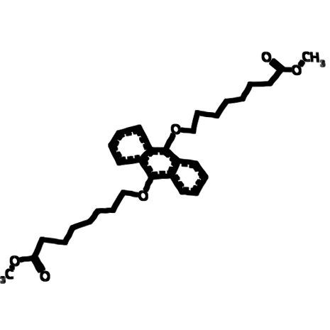 COC(=O)CCCCCCCOc1c2ccccc2c(OCCCCCCCC(=O)OC)c2ccccc12